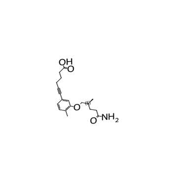 Cc1ccc(C#CCCCC(=O)O)cc1OC[C@@H](C)CCC(N)=O